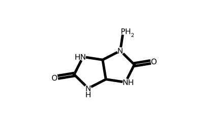 O=C1NC2NC(=O)N(P)C2N1